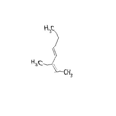 C/[C]=C(C)\C=C\CC